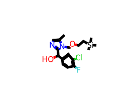 Cc1cnc(C(O)c2ccc(F)c(Cl)c2)n1COCC[Si](C)(C)C